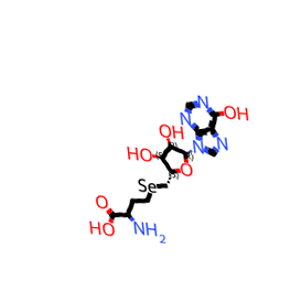 NC(CC[Se]C[C@H]1O[C@@H](n2cnc3c(O)ncnc32)[C@H](O)[C@@H]1O)C(=O)O